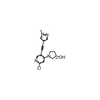 Cn1cc(C#Cc2cnc(Cl)cc2N2CC[C@@H](O)C2)cn1